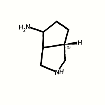 NC1CC[C@@H]2CNCC12